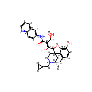 O=C(Nc1ccc2ncccc2c1)/C(CO)=C(\O)C1Oc2c(O)ccc3c2[C@@]12CCN(CC1CC1)[C@H](C3)C2